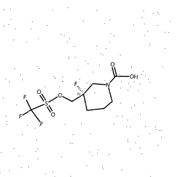 O=C(O)N1CCC[C@@](F)(COS(=O)(=O)C(F)(F)F)C1